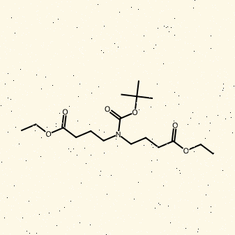 CCOC(=O)CCCN(CCCC(=O)OCC)C(=O)OC(C)(C)C